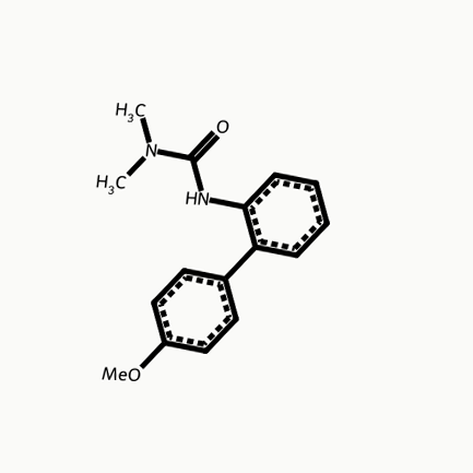 COc1ccc(-c2ccccc2NC(=O)N(C)C)cc1